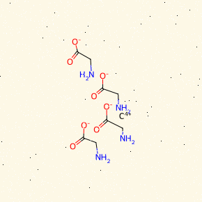 NCC(=O)[O-].NCC(=O)[O-].NCC(=O)[O-].NCC(=O)[O-].[C+4]